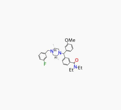 CCN(CC)C(=O)c1cccc(C(c2cccc(OC)c2)N2C[C@@H](C)N(Cc3cccc(F)c3)C[C@H]2C)c1